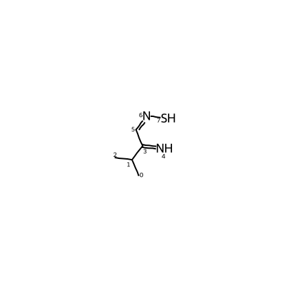 CC(C)C(=N)/C=N\S